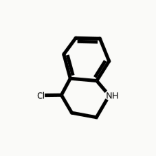 ClC1CCNc2ccccc21